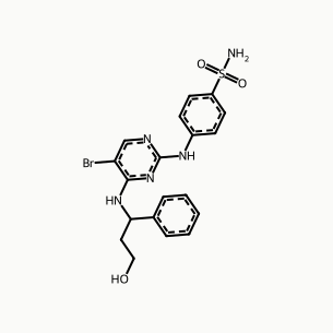 NS(=O)(=O)c1ccc(Nc2ncc(Br)c(NC(CCO)c3ccccc3)n2)cc1